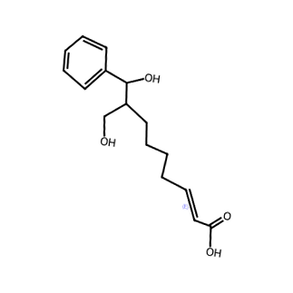 O=C(O)/C=C/CCCCC(CO)C(O)c1ccccc1